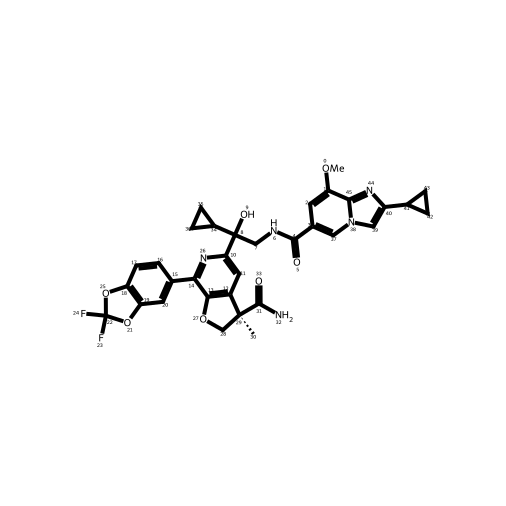 COc1cc(C(=O)NCC(O)(c2cc3c(c(-c4ccc5c(c4)OC(F)(F)O5)n2)OC[C@]3(C)C(N)=O)C2CC2)cn2cc(C3CC3)nc12